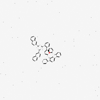 C1=Cc2c(n(-c3ccc4c(c3)oc3cccc(-c5nc(-c6ccc7ccccc7c6)nc(-c6ccc7ccccc7c6)n5)c34)c3c2ccc2c4ccccc4n(-c4ccccc4)c23)CC1